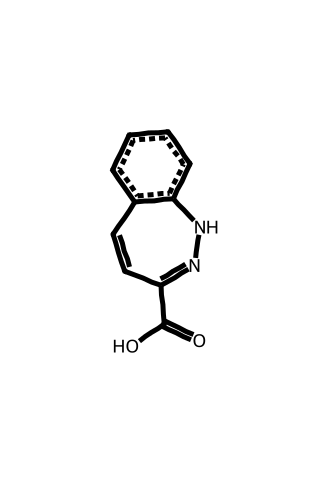 O=C(O)C1=NNc2ccccc2C=C1